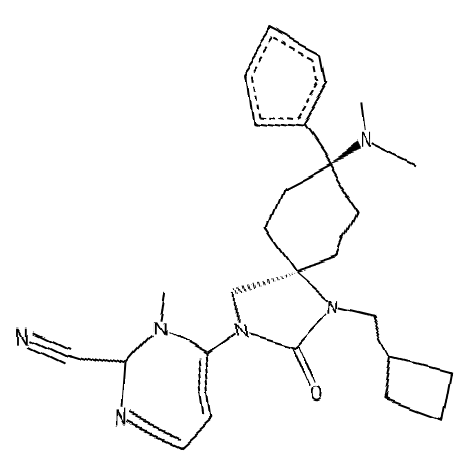 CN1C(N2C[C@]3(CC[C@](c4ccccc4)(N(C)C)CC3)N(CC3CCC3)C2=O)=CC=NC1C#N